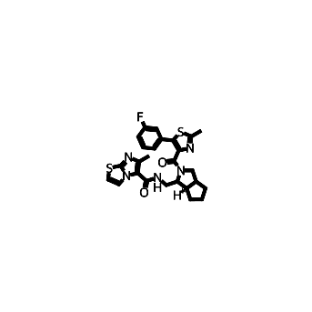 Cc1nc(C(=O)N2CC3CCC[C@@H]3C2CNC(=O)c2c(C)nc3sccn23)c(-c2cccc(F)c2)s1